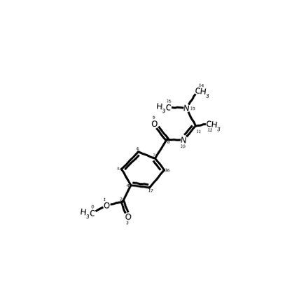 COC(=O)c1ccc(C(=O)N=C(C)N(C)C)cc1